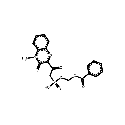 Nn1c(=O)c(C(=O)NP(=O)(O)OCOC(=O)c2ccccc2)nc2ccccc21